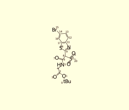 CC(C)(C)OC(=O)CNC(=O)C(c1nc2ccc(Br)cc2s1)S(C)(=O)=O